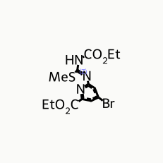 CCOC(=O)N/C(=N/c1cc(Br)cc(C(=O)OCC)n1)SC